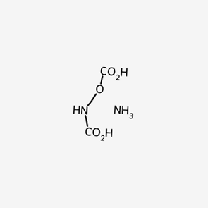 N.O=C(O)NOC(=O)O